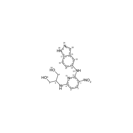 O=[N+]([O-])c1ccc(NC(CO)CO)nc1Nc1ccc2[nH]ncc2c1